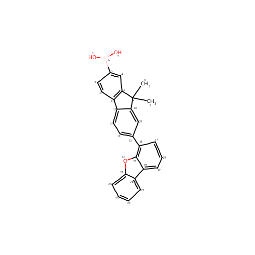 CC1(C)c2cc(B(O)O)ccc2-c2ccc(-c3cccc4c3oc3ccccc34)cc21